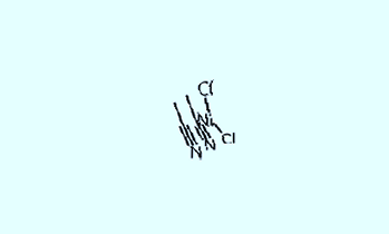 CC#N.CC#N.[Cl][Ni][Cl]